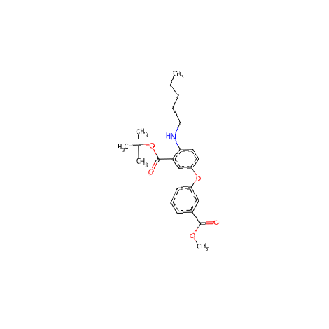 CCCCCNc1ccc(Oc2cccc(C(=O)OC)c2)cc1C(=O)OC(C)(C)C